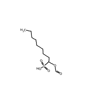 CCCCCCCCC(OC=O)S(=O)(=O)O